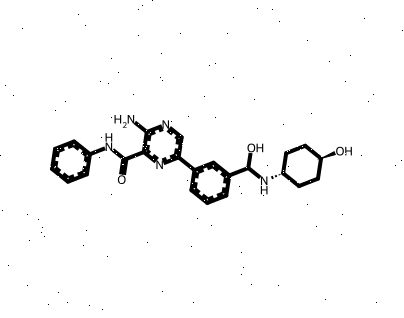 Nc1ncc(-c2cccc(C(O)N[C@H]3CC[C@H](O)CC3)c2)nc1C(=O)Nc1ccccc1